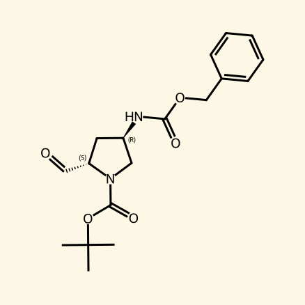 CC(C)(C)OC(=O)N1C[C@H](NC(=O)OCc2ccccc2)C[C@H]1C=O